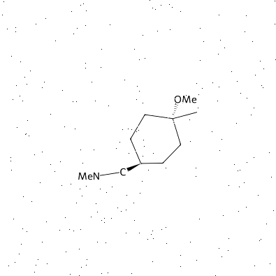 CNC[C@H]1CC[C@](C)(OC)CC1